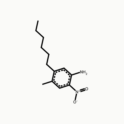 CCCCCCc1cc(N)c([N+](=O)[O-])cc1C